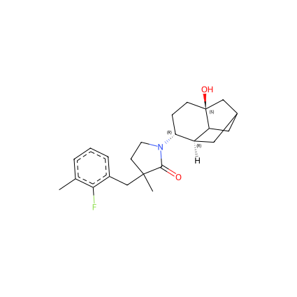 Cc1cccc(CC2(C)CCN([C@@H]3CC[C@]4(O)CC5CC4[C@H]3C5)C2=O)c1F